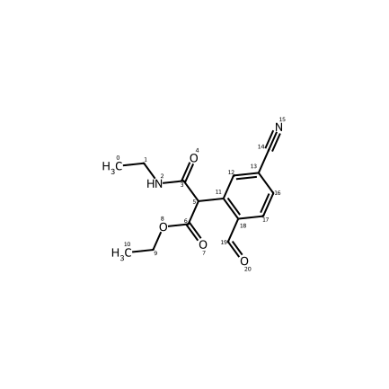 CCNC(=O)C(C(=O)OCC)c1cc(C#N)ccc1C=O